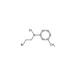 CCN(CCBr)c1cccc(C)c1